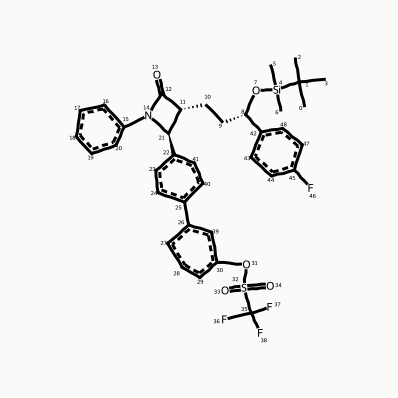 CC(C)(C)[Si](C)(C)O[C@@H](CC[C@H]1C(=O)N(c2ccccc2)[C@@H]1c1ccc(-c2cccc(OS(=O)(=O)C(F)(F)F)c2)cc1)c1ccc(F)cc1